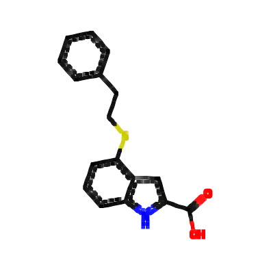 O=C(O)c1cc2c(SCCc3ccccc3)cccc2[nH]1